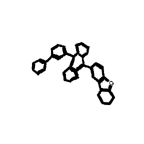 C1=Cc2c(oc3ccc(-c4c5ccccc5c(-c5cccc(-c6ccccc6)c5)c5ccccc45)cc23)CC1